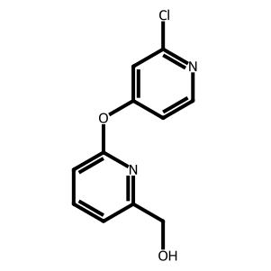 OCc1cccc(Oc2ccnc(Cl)c2)n1